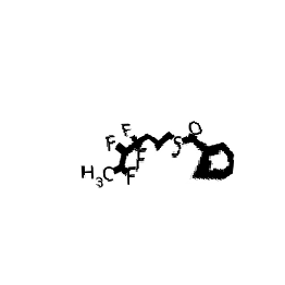 CC(F)C(F)C(F)(F)CCCSC(=O)c1ccccc1